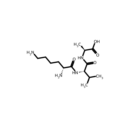 CC(C)[C@H](NC(=O)[C@H](N)CCCCN)C(=O)N[C@@H](C)C(=O)O